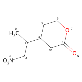 CC(C[N+](=O)[O-])C1CCOC(=O)C1